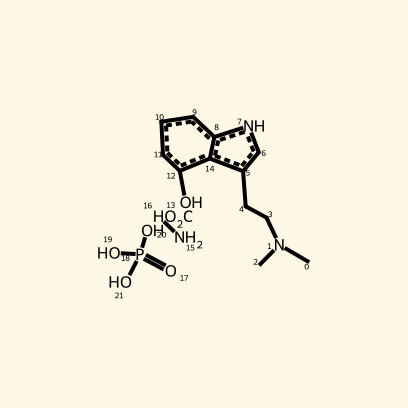 CN(C)CCc1c[nH]c2cccc(O)c12.NC(=O)O.O=P(O)(O)O